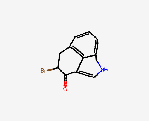 O=C1c2c[nH]c3cccc(c23)CC1Br